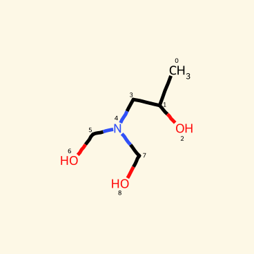 CC(O)CN(CO)CO